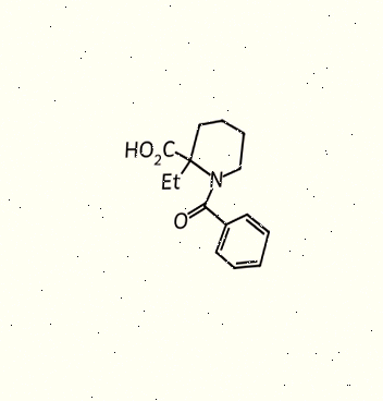 CCC1(C(=O)O)CCCCN1C(=O)c1ccccc1